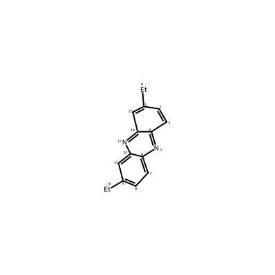 CCc1ccc2nc3ccc(CC)cc3nc2c1